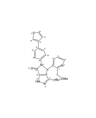 COCc1ncccc1C1c2c(C(C)(C)C)n[nH]c2C(=O)N1c1ccc(-c2ccsc2)cc1